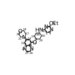 CCOc1nccc(N[C@H]2CC[C@@H](Oc3cc(N4CCOCC4)cc4nccnc34)CC2)n1